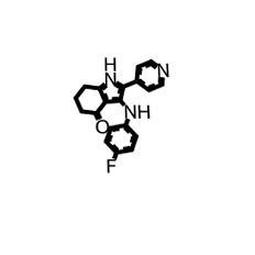 O=C1CCCc2[nH]c(-c3ccncc3)c(Nc3ccc(F)cc3)c21